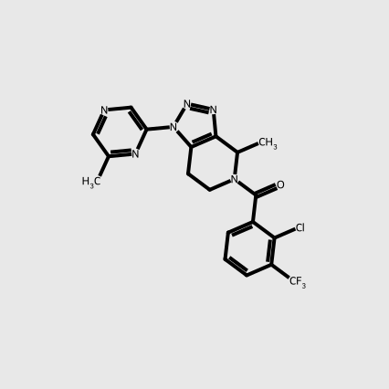 Cc1cncc(-n2nnc3c2CCN(C(=O)c2cccc(C(F)(F)F)c2Cl)C3C)n1